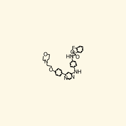 O=S(=O)(Nc1ccc(Nc2cc(-c3ccc(OCCN4CCOCC4)cc3)ncn2)cc1)c1ccccc1F